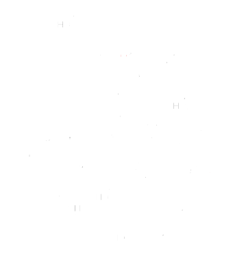 C=C(/C(=C\C)C(=O)c1ccc(C)c(C)c1)c1cc(C)c(OCCC)cc1CCc1cccc(C)c1